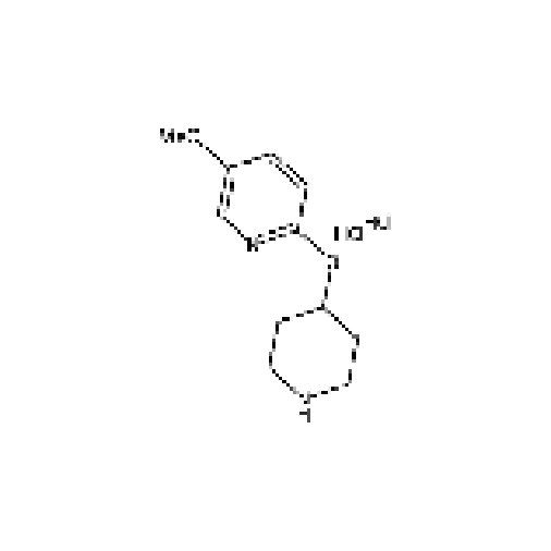 COc1ccc(OC2CCNCC2)nc1.Cl.Cl